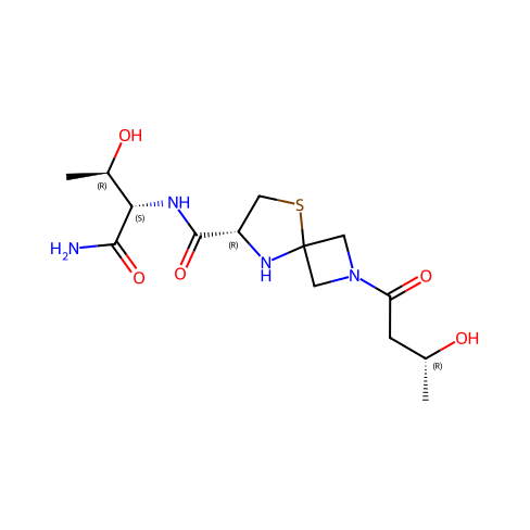 C[C@@H](O)CC(=O)N1CC2(C1)N[C@H](C(=O)N[C@H](C(N)=O)[C@@H](C)O)CS2